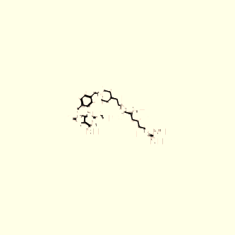 CCCCOc1nc(N)c2[nH]c(=O)n(Cc3ccc(CN4CCC(CCNC(=O)[C@@H](N)CCCCNC(=N)N)CC4)cc3)c2n1